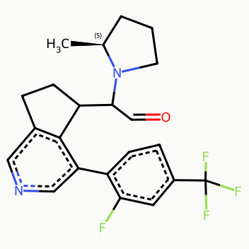 C[C@H]1CCCN1C(C=O)C1CCc2cncc(-c3ccc(C(F)(F)F)cc3F)c21